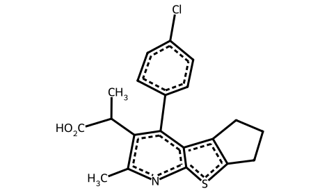 Cc1nc2sc3c(c2c(-c2ccc(Cl)cc2)c1C(C)C(=O)O)CCC3